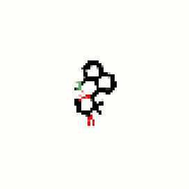 CC1(C)C(=O)C=COC1c1cccc2cccc(Cl)c12